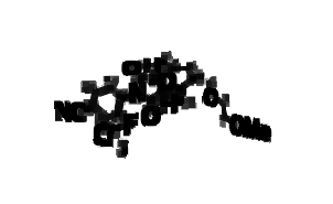 COCCOC[C@H]1C[C@]2(C)O[C@@]1(C)[C@H]1C(=O)N(c3ccc(C#N)c(C(F)(F)F)c3F)C(=O)[C@H]12